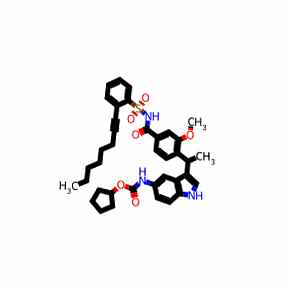 CCCCCCC#Cc1ccccc1S(=O)(=O)NC(=O)c1ccc(C(C)c2c[nH]c3ccc(NC(=O)OC4CCCC4)cc23)c(OC)c1